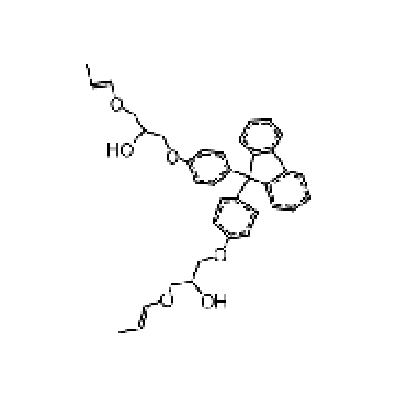 CC=COCC(O)COc1ccc(C2(c3ccc(OCC(O)COC=CC)cc3)c3ccccc3-c3ccccc32)cc1